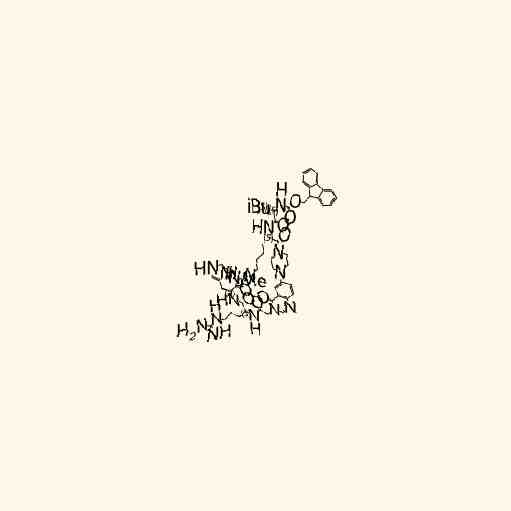 CC[C@H](C)[C@H](NC(=O)OCC1c2ccccc2-c2ccccc21)C(=O)N[C@@H](CCCCN)C(=O)N1CCN(c2ccc3ncn(CC(=O)N[C@@H](CCCNC(=N)N)C(=O)N[C@@H](Cc4c[nH]cn4)C(=O)NC)c(=O)c3c2)CC1